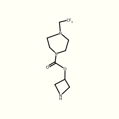 O=C(OC1CNC1)N1CCN(CC(F)(F)F)CC1